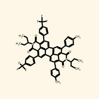 CCC(CC)N1C(=O)c2c(-c3ccc(C)cc3)cc3c4cc(-c5ccc(C(F)(F)F)cc5)c5c6c(c(-c7ccc(C(F)(F)F)cc7)cc(c7cc(-c8ccc(C)cc8)c(c2c37)C1=O)c64)C(=O)N(C(CC)CC)C5=O